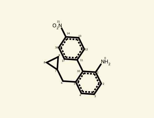 Nc1cccc(CC2CC2)c1-c1ccc([N+](=O)[O-])cc1